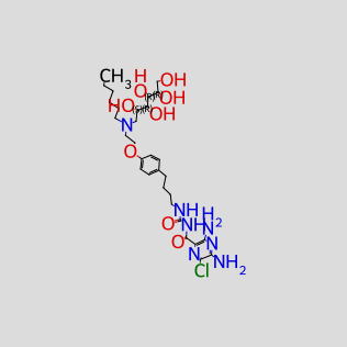 CCCCCCN(CCOc1ccc(CCCCNC(=O)NC(=O)c2nc(Cl)c(N)nc2N)cc1)C[C@H](O)[C@@H](O)[C@H](O)[C@H](O)CO